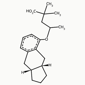 CC(CC(C)(C)C(=O)O)Oc1cccc2c1C[C@@H]1CCC[C@@H]1C2